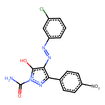 NC(=O)n1nc(-c2ccc([N+](=O)[O-])cc2)c(/N=N/c2cccc(Cl)c2)c1O